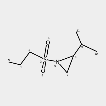 CCCS(=O)(=O)N1CC1C(C)C